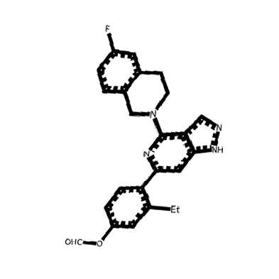 CCc1cc(OC=O)ccc1-c1cc2[nH]ncc2c(N2CCc3cc(F)ccc3C2)n1